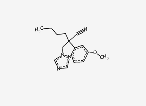 CCCCC(C#N)(Cn1cncn1)c1cccc(OC)c1